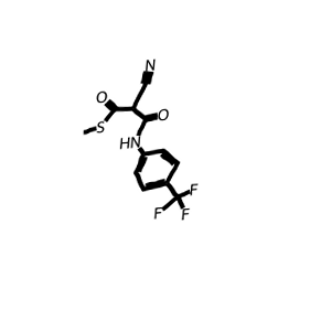 CSC(=O)C(C#N)C(=O)Nc1ccc(C(F)(F)F)cc1